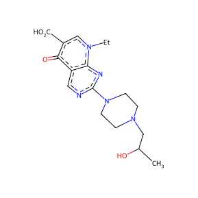 CCn1cc(C(=O)O)c(=O)c2cnc(N3CCN(CC(C)O)CC3)nc21